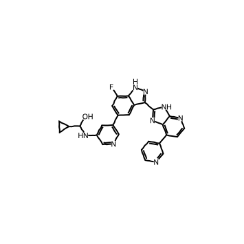 OC(Nc1cncc(-c2cc(F)c3[nH]nc(-c4nc5c(-c6cccnc6)ccnc5[nH]4)c3c2)c1)C1CC1